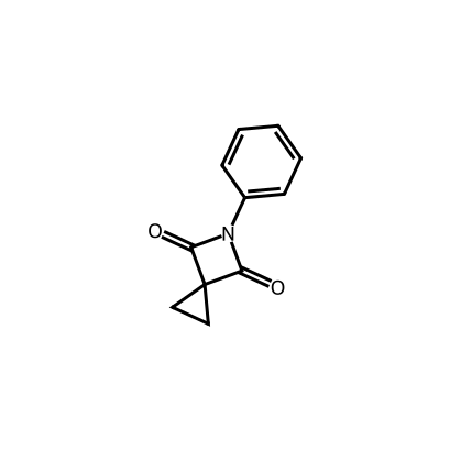 O=C1N(c2ccccc2)C(=O)C12CC2